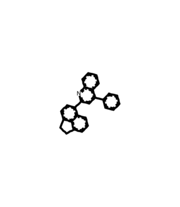 c1ccc(-c2cc(-c3ccc4c5c(cccc35)CC4)nc3ccccc23)cc1